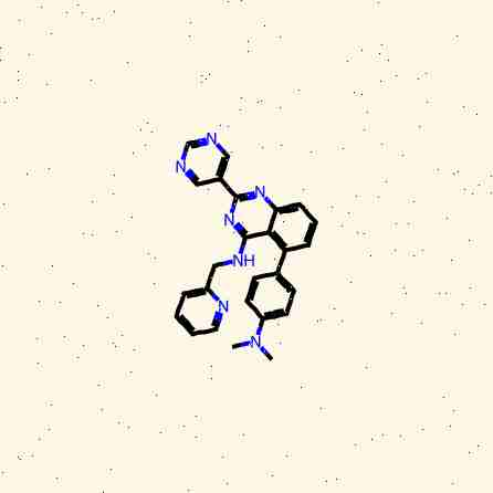 CN(C)c1ccc(-c2cccc3nc(-c4cncnc4)nc(NCc4ccccn4)c23)cc1